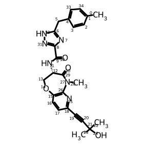 Cc1ccc(Cc2nc(C(=O)N[C@H]3COc4ccc(C#CC(C)(C)O)nc4N(C)C3=O)n[nH]2)cc1